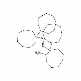 NC1CCCCCCC1(N=NC1(C2CCCCCCC2)CCCCCCC1)C1CCCCCCC1